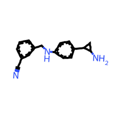 N#Cc1cccc(CNc2ccc(C3CC3N)cc2)c1